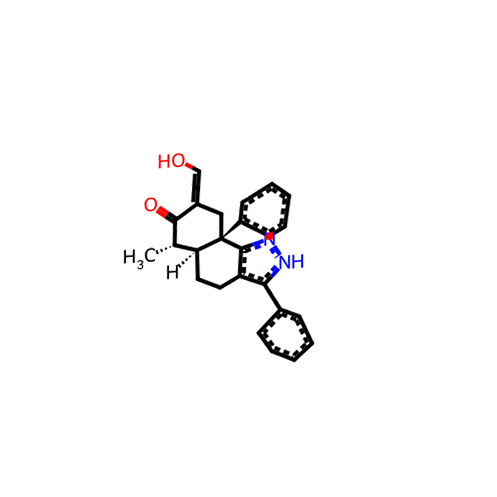 C[C@@H]1C(=O)/C(=C\O)C[C@]2(c3ccccc3)c3n[nH]c(-c4ccccc4)c3CC[C@@H]12